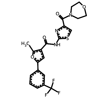 Cc1oc(-c2cccc(C(F)(F)F)c2)cc1C(=O)Nc1nc(C(=O)N2CCOCC2)cs1